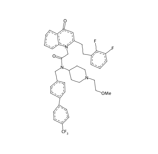 COCCN1CCC(N(Cc2ccc(-c3ccc(C(F)(F)F)cc3)cc2)C(=O)Cn2c(CCc3cccc(F)c3F)cc(=O)c3ccccc32)CC1